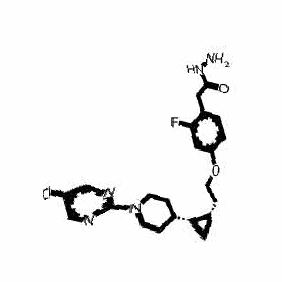 NNC(=O)Cc1ccc(OCC[C@@H]2C[C@@H]2C2CCN(c3ncc(Cl)cn3)CC2)cc1F